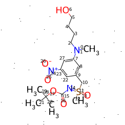 CN(CCCCO)c1cc(CS(C)(=O)=NC(=O)OC(C)(C)C)cc([N+](=O)[O-])c1